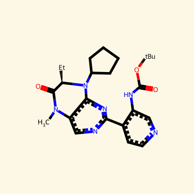 CC[C@@H]1C(=O)N(C)c2cnc(-c3ccncc3NC(=O)OC(C)(C)C)nc2N1C1CCCC1